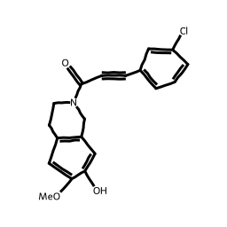 COc1cc2c(cc1O)CN(C(=O)C#Cc1cccc(Cl)c1)CC2